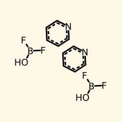 OB(F)F.OB(F)F.c1ccncc1.c1ccncc1